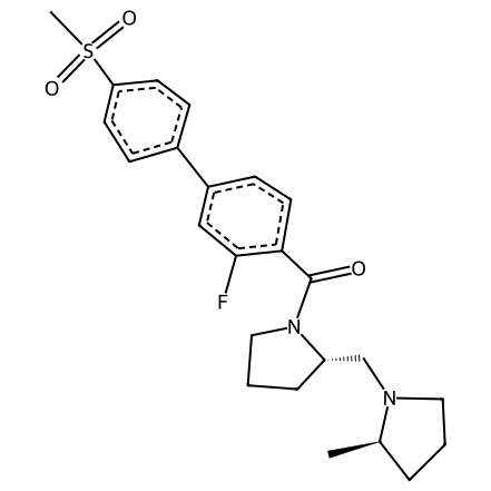 C[C@@H]1CCCN1C[C@@H]1CCCN1C(=O)c1ccc(-c2ccc(S(C)(=O)=O)cc2)cc1F